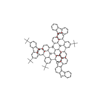 CC(C)(C)c1cc(-c2ccccc2)c(N2c3cc(-n4c5ccccc5c5ccccc54)ccc3B3c4ccc(-n5c6ccc(C(C)(C)C)cc6c6cc(C(C)(C)C)ccc65)cc4N(c4c(-c5ccccc5)cc(C(C)(C)C)cc4-c4ccccc4)c4cc(-c5cccc6c5oc5ccc7sc8ccccc8c7c56)cc2c43)c(-c2ccccc2)c1